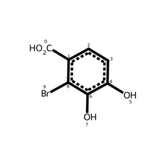 O=C(O)c1ccc(O)c(O)c1Br